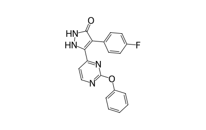 O=c1[nH][nH]c(-c2ccnc(Oc3ccccc3)n2)c1-c1ccc(F)cc1